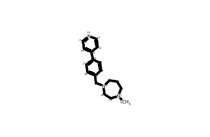 CN1CCCN(Cc2ccc(-c3ccncc3)cc2)CC1